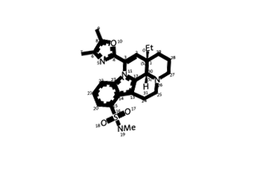 CC[C@@]12C=C(c3nc(C)c(C)o3)n3c4c(c5c(S(=O)(=O)NC)cccc53)CCN(CCC1)[C@H]42